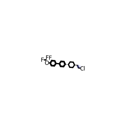 Fc1cc(-c2ccc([C@H]3CC[C@H](/C=C/Cl)CC3)cc2)ccc1OC(F)F